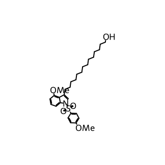 COc1ccc(S(=O)(=O)n2cc(CCCCCCCCCCCCCCO)c3c(OC)cccc32)cc1